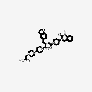 O=C(O)CN1CCN(C2CCN(C(=O)[C@@H](CC(=O)N3CCC(N4Cc5ccccc5NC4=O)CC3)Cc3ccc4c(c3)CCO4)CC2)CC1